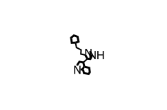 c1ccc(CCCc2n[nH]cc2-c2ccnc3ccccc23)cc1